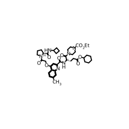 CCOC(=O)N1CCN(C(=O)[C@H](CCC(=O)OC2CCCCC2)NC(=O)c2cc(OCC(=O)N3CCC[C@H]3C(=O)NC3CCC3)c3ccc(C)cc3n2)CC1